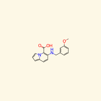 COc1cccc(CNc2ccc3cccn3c2C(=O)O)c1